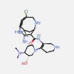 CCC1(CC)CC2NCC(Cl)=C=C1NC(N)C2C(=O)NC1=C(N2CC[C@H](N(C)C)[C@@H](O)C2)CCNC1